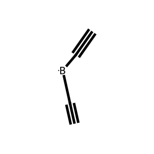 C#C[B]C#C